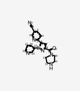 N#Cc1ccc(-c2cc(C(=O)N3CCNCC3)nn2-c2cccnc2)nc1